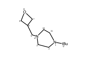 CC(C)(C)N1CCN(CC2COC2)CC1